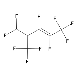 FC(=C(F)C(F)(F)F)C(C(F)F)C(F)(F)F